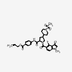 C=CCOC(=O)c1ccc(NC(=O)C2CC(C3CCN(S(C)(=O)=O)CC3)CN2C(=O)c2ccc3c(c(Cl)cn3C)c2F)cc1